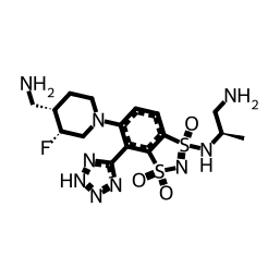 C[C@H](CN)NS1(=O)=NS(=O)(=O)c2c1ccc(N1CC[C@@H](CN)[C@@H](F)C1)c2-c1nn[nH]n1